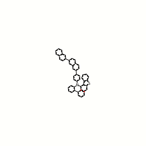 c1ccc(-c2ccccc2N(c2ccc(-c3ccc4ccc(-c5ccc6ccccc6c5)cc4c3)cc2)c2cccc3sc4ccccc4c23)cc1